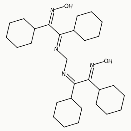 ON=C(C(=NCN=C(C(=NO)C1CCCCC1)C1CCCCC1)C1CCCCC1)C1CCCCC1